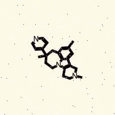 Cc1cc2c3c(c1)c1c(n3CCC(C)(c3ccncc3)C2)CCN(C)C1